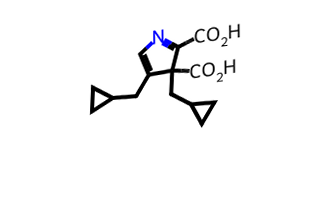 O=C(O)C1=NC=C(CC2CC2)C1(CC1CC1)C(=O)O